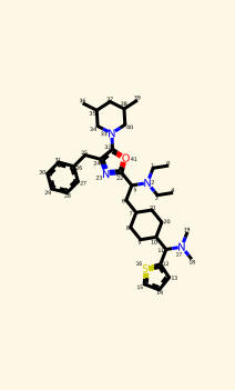 CCN(CC)C(CC1CCC(C(c2cccs2)N(C)C)CC1)c1nc(Cc2ccccc2)c(N2CC(C)CC(C)C2)o1